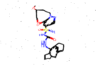 COC1CCn2ncc(S(=N)(=O)NC(=O)Nc3c4c(cc5c3CCC5)CCC4)c2OC1